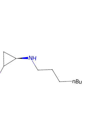 CCCCCCCN[C@@H]1CC1I